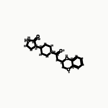 O=C(CC1COc2ccccc2O1)N1CCC(N2CCNC2=O)CC1